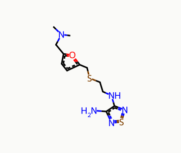 CN(C)Cc1ccc(CSCCNc2nsnc2N)o1